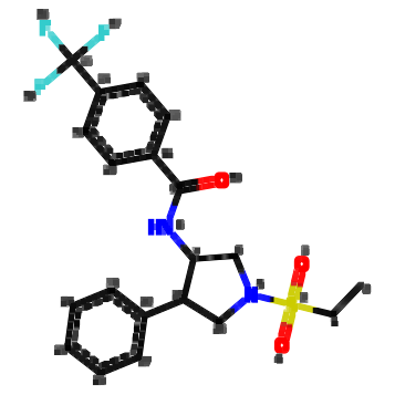 CCS(=O)(=O)N1CC(NC(=O)c2ccc(C(F)(F)F)cc2)C(c2ccccc2)C1